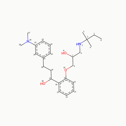 CCC(C)(C)NCC(O)COc1ccccc1C(O)CCc1cccc(N(C)C)c1